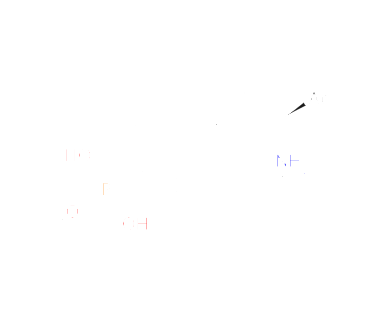 CC(=O)[C@@H](N)Cc1ccc(P(=O)(O)O)cc1